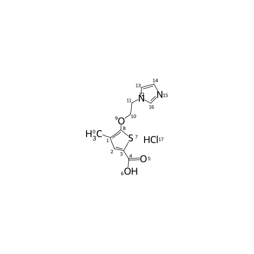 Cc1cc(C(=O)O)sc1OCCn1ccnc1.Cl